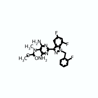 COC(=O)N(C)c1c(N)nc(-c2nn(Cc3ccccc3F)c3c(F)cc(F)cc23)nc1N